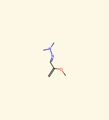 C=C(/C=N/N(C)C)OC